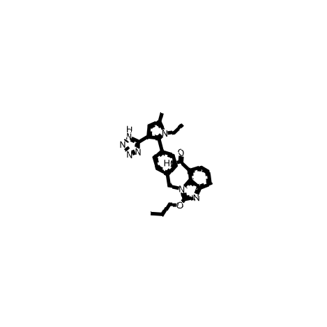 CCCOc1nc2cccc(C(=O)O)c2n1Cc1ccc(-c2c(-c3nnn[nH]3)cc(C)n2CC)cc1